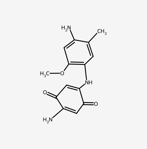 COc1cc(N)c(C)cc1NC1=CC(=O)C(N)=CC1=O